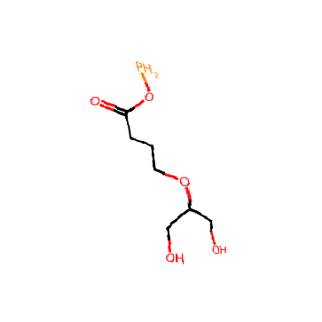 O=C(CCCOC(CO)CO)OP